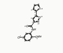 COc1ccc(Cl)cc1NC(=O)c1cc(-c2cccs2)on1